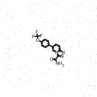 NC(=O)c1nnc2ccc(-c3ccc(OC(F)(F)F)cc3)cn12